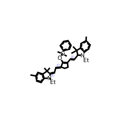 CCN1/C(=C/C=C2\CCC(/C=C/C3N(CC)c4ccc(C)cc4C3(C)C)=C2O[Si](C)(C)c2ccccc2)C(C)(C)c2cc(C)ccc21